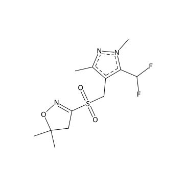 Cc1nn(C)c(C(F)F)c1CS(=O)(=O)C1=NOC(C)(C)C1